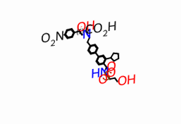 O=C(NS(=O)(=O)CCCO)c1ccc(-c2ccc(CCN(C[C@@H](O)c3ccc([N+](=O)[O-])cc3)C(=O)O)cc2)cc1C1CCCC1